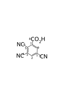 N#Cc1cc(C#N)c(C#N)c(C(=O)O)c1